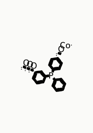 [C]=O.[C]=O.[C]=O.[C]=O.[Co].c1ccc(P(c2ccccc2)c2ccccc2)cc1